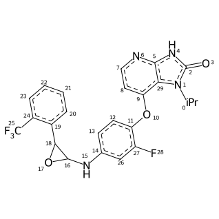 CC(C)n1c(=O)[nH]c2nccc(Oc3ccc(NC4OC4c4ccccc4C(F)(F)F)cc3F)c21